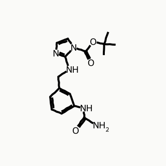 CC(C)(C)OC(=O)n1ccnc1NCc1cccc(NC(N)=O)c1